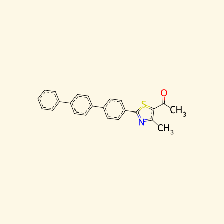 CC(=O)c1sc(-c2ccc(-c3ccc(-c4ccccc4)cc3)cc2)nc1C